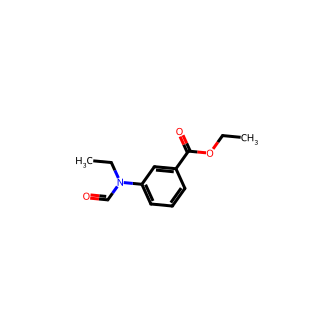 CCOC(=O)c1cccc(N(C=O)CC)c1